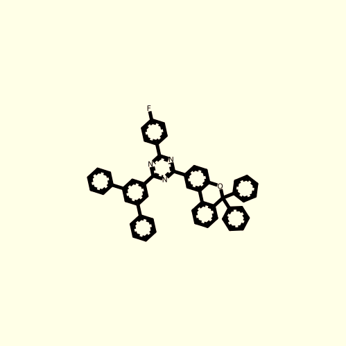 Fc1ccc(-c2nc(-c3cc(-c4ccccc4)cc(-c4ccccc4)c3)nc(-c3ccc4c(c3)-c3ccccc3C(c3ccccc3)(c3ccccc3)O4)n2)cc1